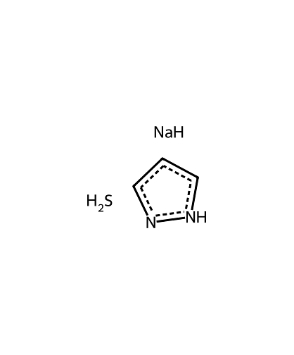 S.[NaH].c1cn[nH]c1